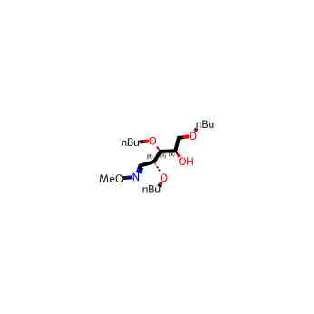 CCCCOC[C@@H](O)[C@@H](OCCCC)[C@@H](C=NOC)OCCCC